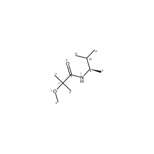 COC(C)(C)C(=O)N[C@H](C)C(C)C